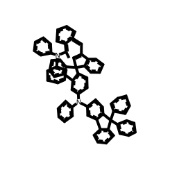 C/C(=c1/cccc/c1=C/C1=CC2(c3ccccc31)c1ccccc1-c1cc(N(c3ccccc3)c3ccc4c(c3)-c3ccccc3C4(c3ccccc3)c3ccccc3)ccc12)N(c1ccccc1)c1ccccc1